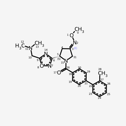 CO/N=C1\C[C@@H](c2noc(CN(C)C)n2)N(C(=O)c2ccc(-c3ccccc3C)cc2)C1